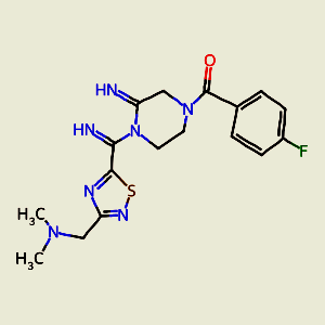 CN(C)Cc1nsc(C(=N)N2CCN(C(=O)c3ccc(F)cc3)CC2=N)n1